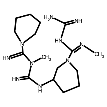 C/N=C(/NC(=N)N)N1CCCC(NC(=N)N(C)C(=N)N2CCCCC2)C1